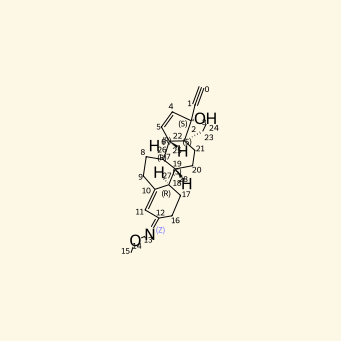 C#C[C@]1(O)C=C[C@H]2[C@@H]3CCC4=C/C(=N\OC)CC[C@@H]4[C@H]3CC[C@@]21CC